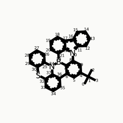 CC(C)(C)c1cc2c3c(c1)-n1c4ccccc4c4cccc(c41)B3N1c3ccccc3Sc3cccc-2c31